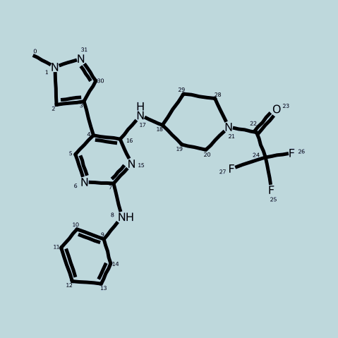 Cn1cc(-c2cnc(Nc3ccccc3)nc2NC2CCN(C(=O)C(F)(F)F)CC2)cn1